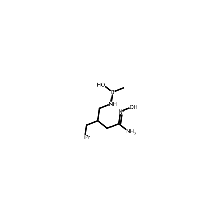 CB(O)NCC(CC(N)=NO)CC(C)C